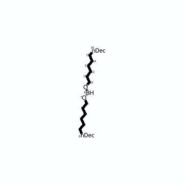 CCCCCCCCCCCCCCCCOBOCCCCCCCCCCCCCCCC